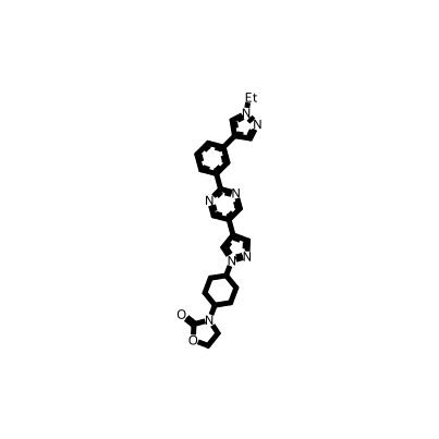 CCn1cc(-c2cccc(-c3ncc(-c4cnn(C5CCC(N6CCOC6=O)CC5)c4)cn3)c2)cn1